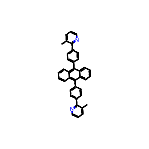 Cc1cccnc1-c1ccc(-c2c3ccccc3c(-c3ccc(-c4ncccc4C)cc3)c3ccccc23)cc1